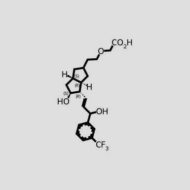 O=C(O)COCCC1C[C@H]2C[C@H](O)[C@@H](C=CC(O)c3cccc(C(F)(F)F)c3)[C@@H]2C1